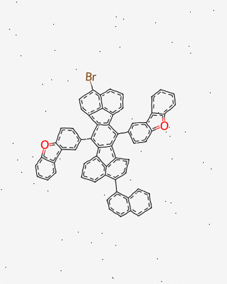 Brc1ccc2c3c(-c4ccc5oc6ccccc6c5c4)c4c5cccc6c(-c7cccc8ccccc78)ccc(c4c(-c4ccc7oc8ccccc8c7c4)c3c3cccc1c23)c65